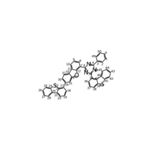 c1ccc(-c2nc(-c3cccc4c3oc3cc(-c5cccc6c5sc5ccccc56)ccc34)nc(-c3cccc4sc5ccccc5c34)n2)cc1